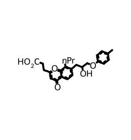 CCCc1c(CC(O)COc2ccc(C)cc2)ccc2c(=O)cc(CCC(=O)O)oc12